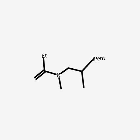 C=C(CC)N(C)CC(C)C(C)CCC